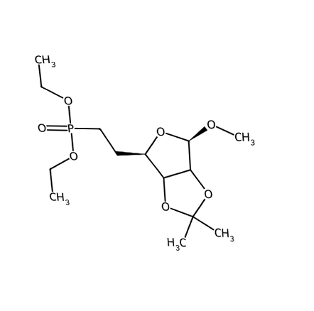 CCOP(=O)(CC[C@H]1O[C@@H](OC)C2OC(C)(C)OC21)OCC